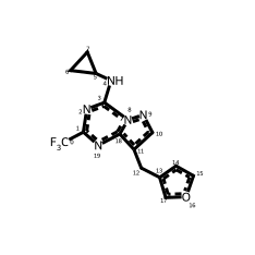 FC(F)(F)c1nc(NC2CC2)n2ncc(Cc3ccoc3)c2n1